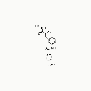 COc1ccc(C(=O)Nc2ccc3c(c2)CC(C(=O)NO)CC3)cc1